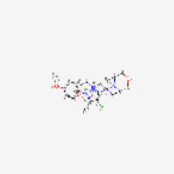 Cc1c(F)c(N2CC3COCC(C2)N3CCN2CCOCC2)nn1-c1ccc(OC(F)(F)F)cc1